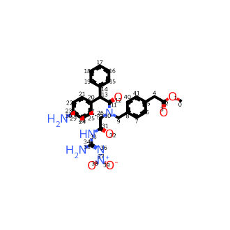 COC(=O)Cc1ccc(CN(C(=O)C(c2ccccc2)c2ccccc2)[C@@H](CCCN)C(=O)NC(N)=N[N+](=O)[O-])cc1